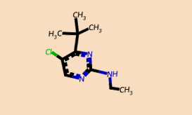 CCNc1ncc(Cl)c(C(C)(C)C)n1